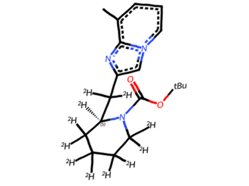 [2H]C1([2H])N(C(=O)OC(C)(C)C)[C@]([2H])(C([2H])([2H])c2cn3cccc(C)c3n2)C([2H])([2H])C([2H])([2H])C1([2H])[2H]